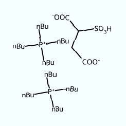 CCCC[P+](CCCC)(CCCC)CCCC.CCCC[P+](CCCC)(CCCC)CCCC.O=C([O-])CC(C(=O)[O-])S(=O)(=O)O